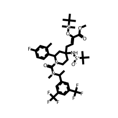 COC(=O)C(=CCC1(N[S+]([O-])C(C)(C)C)CCN(C(=O)N(C)C(C)c2cc(C(F)(F)F)cc(C(F)(F)F)c2)C(c2ccc(F)cc2C)C1)O[Si](C)(C)C(C)(C)C